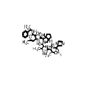 CCCC(NC(=O)C1[C@H]2CCC[C@H]2CN1C(=O)[C@@H](NC(=O)[C@H](NC(=O)c1cnccn1)C(C)C)C(C)C)C(=O)C(=O)N[C@H](C)c1ccccc1